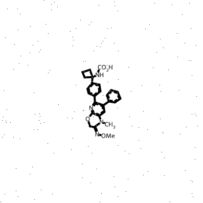 CO/N=C1/COc2nc(-c3ccc(C4(NC(=O)O)CCC4)cc3)c(-c3ccccc3)cc2N1C